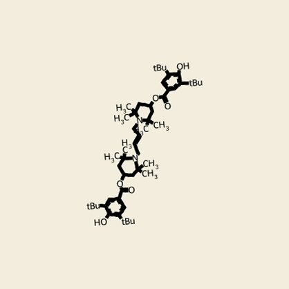 CC(C)(C)c1cc(C(=O)OC2CC(C)(C)N(CC=CCN3C(C)(C)CC(OC(=O)c4cc(C(C)(C)C)c(O)c(C(C)(C)C)c4)CC3(C)C)C(C)(C)C2)cc(C(C)(C)C)c1O